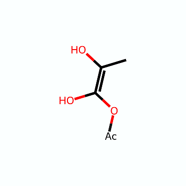 CC(=O)O/C(O)=C(\C)O